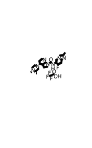 Cc1cn2cc(NC(=O)N3CCc4c(N5CCN(C)[C@H](C)C5)ccnc43)c(F)cc2n1.O=C(O)C(F)(F)F